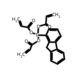 C=CC(=O)[O][Ti]([O]C(=O)C=C)([O]C(=O)C=C)[c]1cccc2c1Cc1ccccc1-2